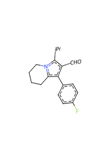 CC(C)c1c(C=O)c(-c2ccc(F)cc2)c2n1CCCC2